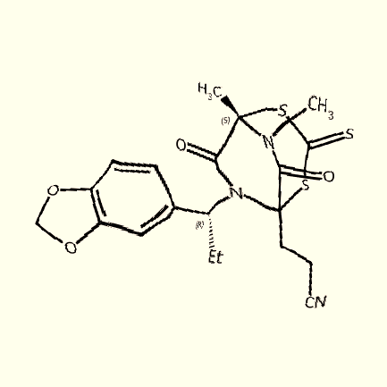 CC[C@H](c1ccc2c(c1)OCO2)N1C(=O)[C@]2(C)SC(=S)SC1(CCC#N)C(=O)N2C